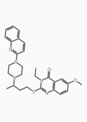 CCn1c(SCCC(C)N2CCN(c3ccc4ccccc4n3)CC2)nc2ccc(OC)cc2c1=O